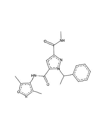 CNC(=O)c1cc(C(=O)Nc2c(C)noc2C)n(C(C)c2ccccc2)n1